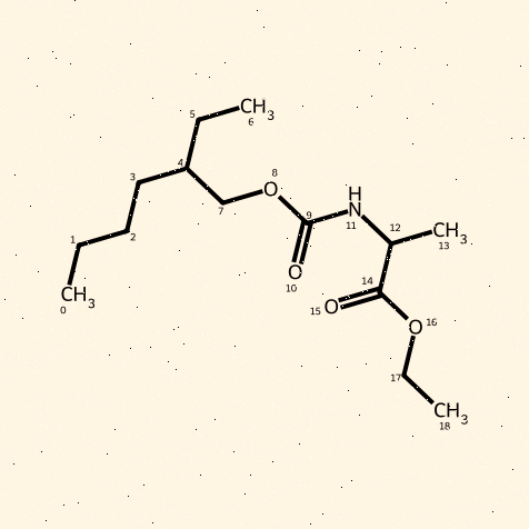 CCCCC(CC)COC(=O)NC(C)C(=O)OCC